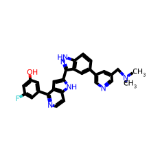 CN(C)Cc1cncc(-c2ccc3[nH]nc(-c4cc5c(-c6cc(O)cc(F)c6)nccc5[nH]4)c3c2)c1